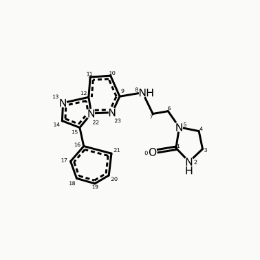 O=C1NCCN1CCNc1ccc2ncc(-c3ccccc3)n2n1